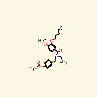 CCCCCOc1cc(C(=O)N(CC)CCc2ccc(OC(C)=O)cc2)ccc1OC